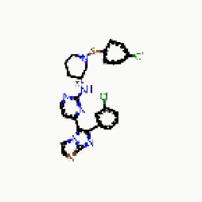 Clc1ccc(SN2CCC[C@@H](Nc3nccc(-c4c(-c5cccc(Cl)c5)nc5sccn45)n3)C2)cc1